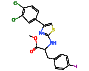 COC(=O)C(Cc1ccc(I)cc1)Nc1nc(-c2ccc(Cl)c(Cl)c2)cs1